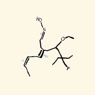 C\C=C/C=C(\C=N\O)C(OC)C(C)(C)F